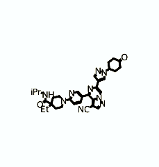 CCC1(C(=O)NC(C)C)CCN(c2ccc(-c3nc(-c4cnn(C5CCC(=O)CC5)c4)cn4ncc(C#N)c34)cn2)CC1